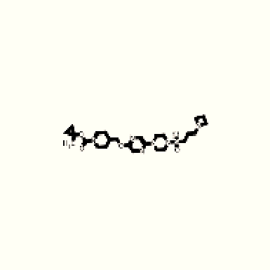 CC1(OC(=O)N2CCC(COc3cnc(N4CCN(S(=O)(=O)CCCN5CCC5)CC4)cn3)CC2)CC1